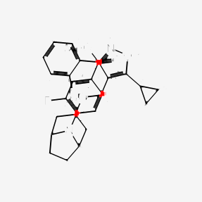 COC(=O)c1ccc(N2C3CCC2CC(OCc2c(-c4ccccc4C(F)(F)F)noc2C2CC2)C3)c(F)c1